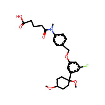 COC1CCC(OC)(c2cc(F)cc(OCc3ccc(N(C)C(=O)CCCC(=O)O)cc3)c2)CC1